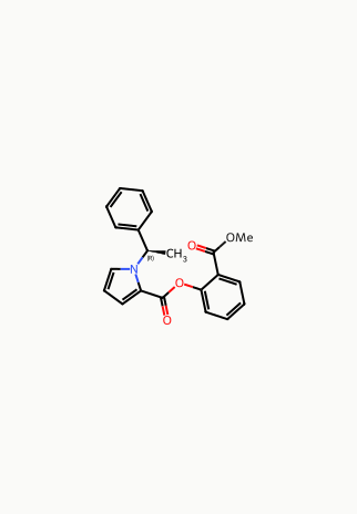 COC(=O)c1ccccc1OC(=O)c1cccn1[C@H](C)c1ccccc1